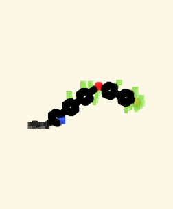 CCCCCc1ccc(-c2ccc(-c3cc(F)c(C(F)(F)Oc4ccc(-c5cc(F)c(S(F)(F)(F)(F)F)c(F)c5)c(F)c4)c(F)c3)c(F)c2)nc1